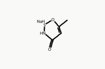 CC1=CC(=O)NSO1.[NaH]